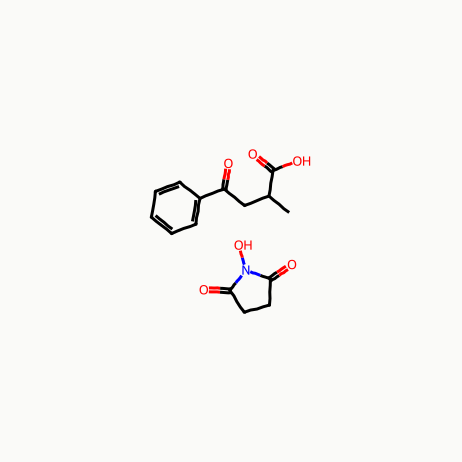 CC(CC(=O)c1ccccc1)C(=O)O.O=C1CCC(=O)N1O